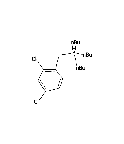 CCCC[PH](CCCC)(CCCC)Cc1ccc(Cl)cc1Cl